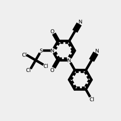 N#Cc1cc(Cl)ccc1-n1cc(C#N)c(=O)n(SC(Cl)(Cl)Cl)c1=O